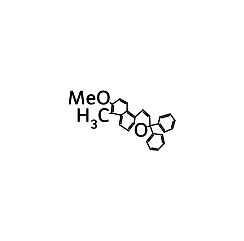 COc1ccc2c3c(ccc2c1C)OC(c1ccccc1)(c1ccccc1)C=C3